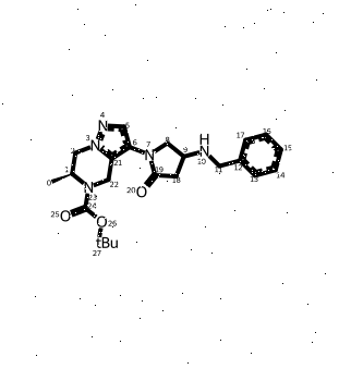 C[C@H]1Cn2ncc(N3CC(NCc4ccccc4)CC3=O)c2CN1C(=O)OC(C)(C)C